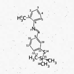 Cc1ccccc1N=Cc1cccc(S[Si](C)(C)C)c1